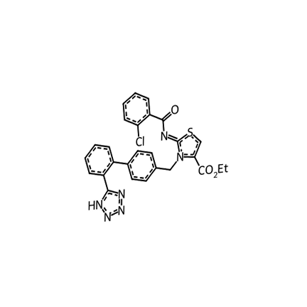 CCOC(=O)c1csc(=NC(=O)c2ccccc2Cl)n1Cc1ccc(-c2ccccc2-c2nnn[nH]2)cc1